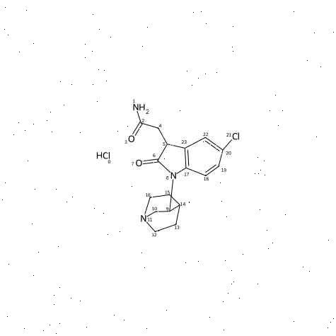 Cl.NC(=O)CC1C(=O)N(C2CN3CCC2CC3)c2ccc(Cl)cc21